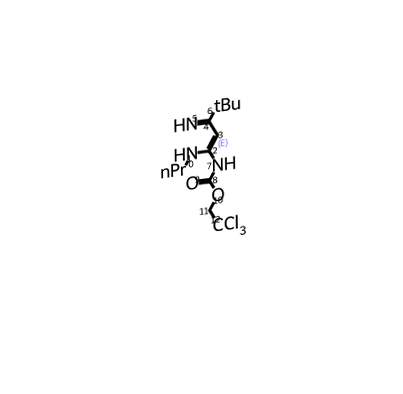 CCCN/C(=C\C(=N)C(C)(C)C)NC(=O)OCC(Cl)(Cl)Cl